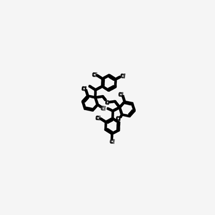 CC(c1ccc(Cl)cc1Cl)C1(COCC2(C(C)c3ccc(Cl)cc3Cl)C(Cl)=CC=CC2Cl)C(Cl)=CC=CC1Cl